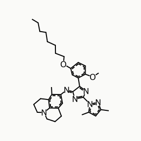 CCCCCCCCOc1ccc(OC)c(C2=NC(n3nc(C)cc3C)=N/C2=N\c2cc3c4c(c2C)CCCN4CCC3)c1